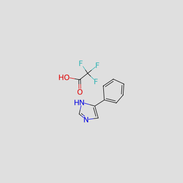 O=C(O)C(F)(F)F.c1ccc(-c2cnc[nH]2)cc1